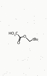 CC(C)(C)COC(=O)C(=O)O